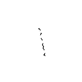 COC(=O)CNC(=O)COCCOCCCCCOCC(C)=O